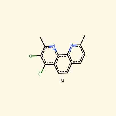 Cc1ccc2ccc3c(Cl)c(Cl)c(C)nc3c2n1.[Ni]